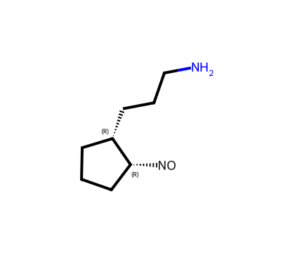 NCCC[C@H]1CCC[C@H]1N=O